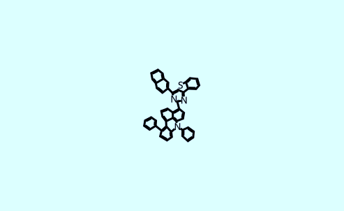 c1ccc(-c2cccc3c2-c2cccc4c(-c5nc(-c6ccc7ccccc7c6)c6sc7ccccc7c6n5)ccc(c24)N3c2ccccc2)cc1